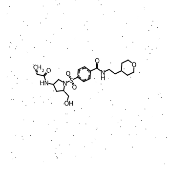 C=CC(=O)NC1CC(CO)N(S(=O)(=O)c2ccc(C(=O)NCCC3CCOCC3)cc2)C1